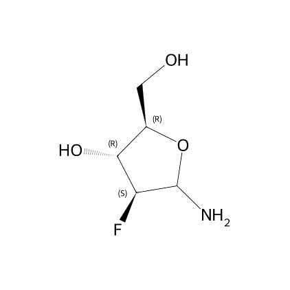 NC1O[C@H](CO)[C@@H](O)[C@@H]1F